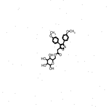 COc1ccc(-c2noc(CC(=O)OCC3OC(O)C(O)C(O)C3O)c2-c2ccc(OC)cc2)cc1